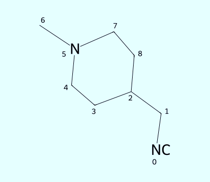 [C-]#[N+]CC1CCN(C)CC1